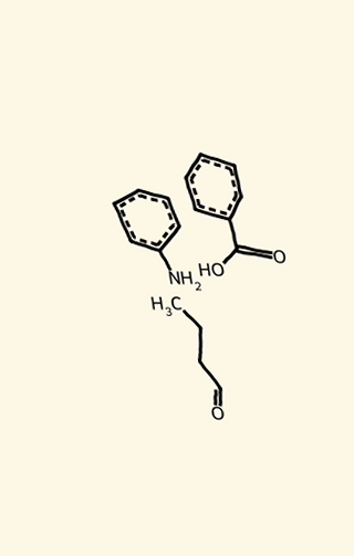 CCCC=O.Nc1ccccc1.O=C(O)c1ccccc1